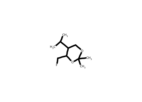 CC(C)C1COC(C)(C)OC1CF